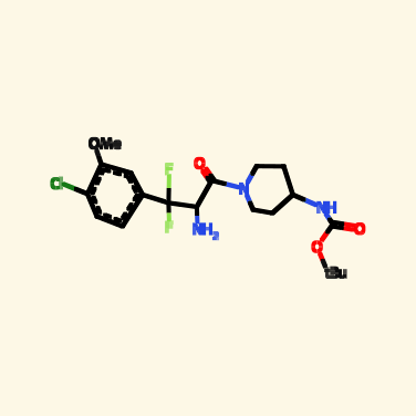 COc1cc(C(F)(F)C(N)C(=O)N2CCC(NC(=O)OC(C)(C)C)CC2)ccc1Cl